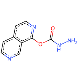 NNC(=O)Oc1nccc2ccncc12